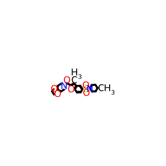 Cc1c(C(=O)N2CCC3(CC2)OCCO3)oc2ccc(S(=O)(=O)N3CCC(C)CC3)cc12